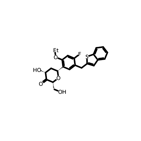 CCOc1cc(F)c(Cc2cc3ccccc3s2)cc1[C@H]1C[C@@H](O)C(=O)[C@@H](CO)O1